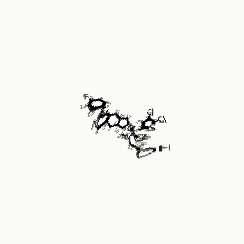 C[C@]12Cc3cnn(-c4ccc(F)cc4)c3C=C1CC[C@@H]2CN(CCO)S(=O)(=O)c1cc(Cl)c(Cl)s1